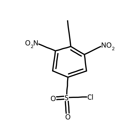 Cc1c([N+](=O)[O-])cc(S(=O)(=O)Cl)cc1[N+](=O)[O-]